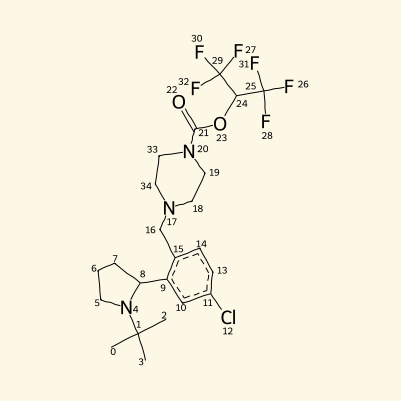 CC(C)(C)N1CCCC1c1cc(Cl)ccc1CN1CCN(C(=O)OC(C(F)(F)F)C(F)(F)F)CC1